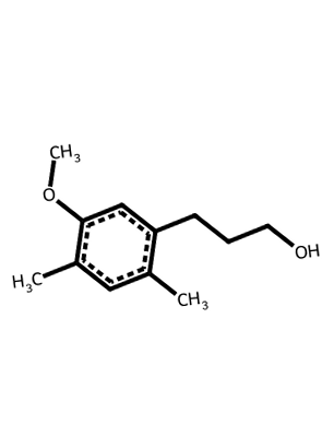 COc1cc(CCCO)c(C)cc1C